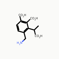 CC(C(=O)O)c1c(CN)ccc(C(=O)O)c1C(=O)O